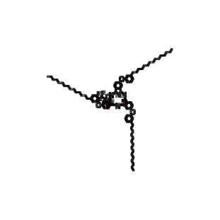 CCCCCCCCCCCCCCCc1cccc(Oc2ccc3c(c2)-c2nc-3nc3c4cc(Oc5cccc(CCCCCCCCCCCCCCC)c5)ccc4c(nc4c5cc(Oc6cccc(CCCCCCCCCCCCCCC)c6)ccc5c(n2)n4C)n3B(C)OC(=O)C(F)(F)F)c1